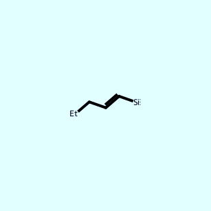 CCCC=C[Si]